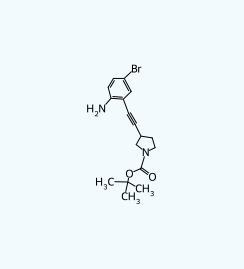 CC(C)(C)OC(=O)N1CCC(C#Cc2cc(Br)ccc2N)C1